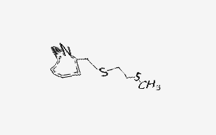 CSCCSCc1ccccn1